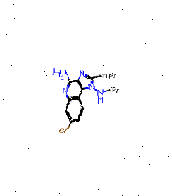 CCCc1nc2c(N)nc3cc(Br)ccc3c2n1NC(C)C